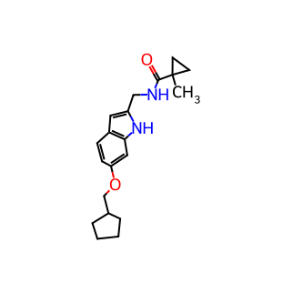 CC1(C(=O)NCc2cc3ccc(OCC4CCCC4)cc3[nH]2)CC1